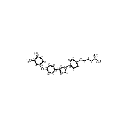 CCN(CC)CCCOc1ccc(-n2cnc(-c3ccc(Oc4ccc(F)c(C(F)(F)F)c4)cc3)c2)cc1